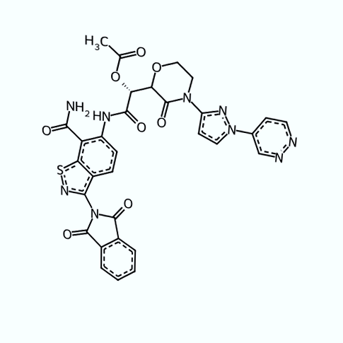 CC(=O)O[C@@H](C(=O)Nc1ccc2c(N3C(=O)c4ccccc4C3=O)nsc2c1C(N)=O)C1OCCN(c2ccn(-c3ccnnc3)n2)C1=O